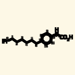 CC(C)CCCCCCc1ccc(NC(=O)O)cc1